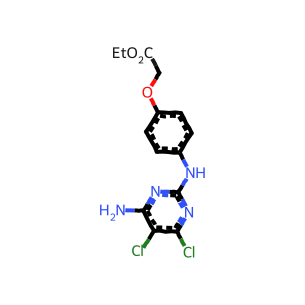 CCOC(=O)COc1ccc(Nc2nc(N)c(Cl)c(Cl)n2)cc1